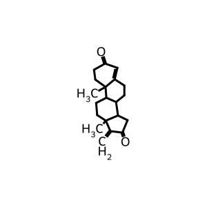 C=C1C(=O)CC2C3CCC4=CC(=O)CCC4(C)C3CCC12C